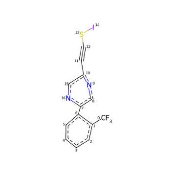 FC(F)(F)c1ccccc1-c1cnc(C#CSI)cn1